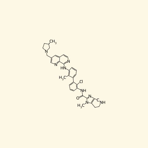 Cc1c(Nc2nccc3cc(CN4CC[C@@H](C)C4)cnc23)cccc1-c1cccc(NC(=O)c2nc3c(n2C)CCNC3)c1Cl